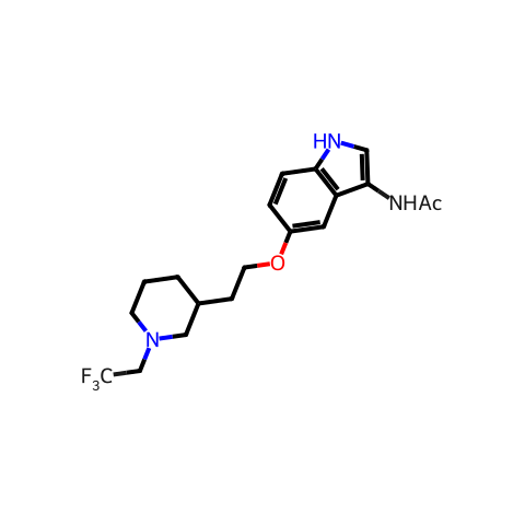 CC(=O)Nc1c[nH]c2ccc(OCCC3CCCN(CC(F)(F)F)C3)cc12